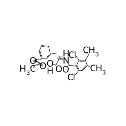 CCc1c(C)cc(Cl)c(C(=O)N[C@@H](Cc2cccc(S(C)(=O)=O)c2)C(=O)O)c1Cl